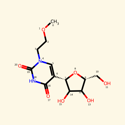 COCCn1cc([C@@H]2O[C@H](CO)C(O)C2O)c(=O)[nH]c1=O